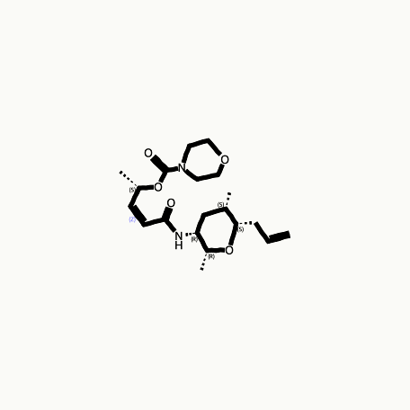 C=CC[C@@H]1O[C@H](C)[C@H](NC(=O)/C=C\[C@H](C)OC(=O)N2CCOCC2)C[C@@H]1C